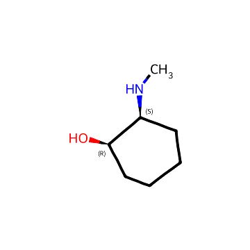 CN[C@H]1CCCC[C@H]1O